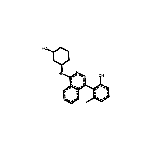 Oc1cccc(F)c1-c1nnc(NC2CCCC(O)C2)c2cnccc12